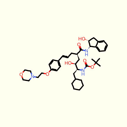 CC(C)(C)OC(=O)N[C@@H](CC1CCCCC1)[C@@H](O)C[C@@H](C/C=C/c1ccc(OCCN2CCOCC2)cc1)C(=O)N[C@H]1c2ccccc2C[C@H]1O